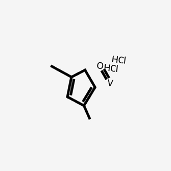 CC1=CCC(C)=C1.Cl.Cl.[O]=[V]